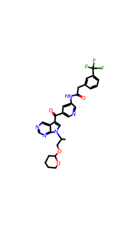 CC(COC1CCCCO1)n1cc(C(=O)c2cncc(NC(=O)Cc3cccc(C(F)(F)F)c3)c2)c2cncnc21